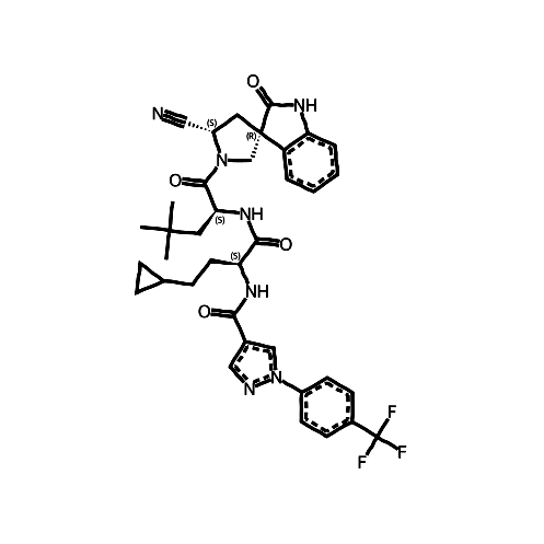 CC(C)(C)C[C@H](NC(=O)[C@H](CCC1CC1)NC(=O)c1cnn(-c2ccc(C(F)(F)F)cc2)c1)C(=O)N1C[C@]2(C[C@H]1C#N)C(=O)Nc1ccccc12